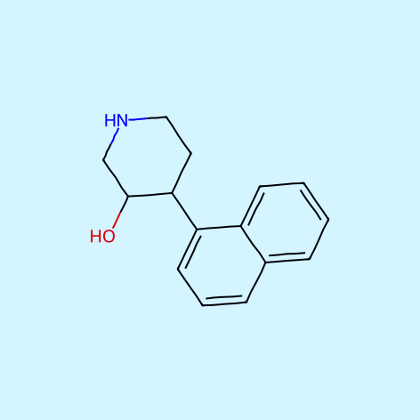 OC1CNCCC1c1cccc2ccccc12